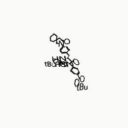 CC(C)(C)OC(=O)N[C@@H](Cc1ccc(N2CC3(CCCCC3)CC2=O)cc1)C(=O)Nc1ccc(C(=O)OC(C)(C)C)cc1